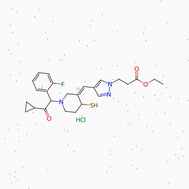 CCOC(=O)CCn1cc(/C=C2/CN(C(C(=O)C3CC3)c3ccccc3F)CCC2S)cn1.Cl